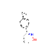 CCC(=NO)c1ccc(C)cc1